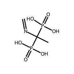 C=NC(C)(P(=O)(O)O)P(=O)(O)O